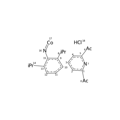 CC(=O)c1cccc(C(C)=O)n1.CC(C)c1cccc(C(C)C)c1[N]=[Co].Cl